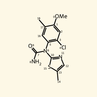 COc1cc(Cl)c(N(C(N)=O)c2ncc(C)s2)cc1C